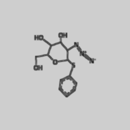 [N-]=[N+]=NC1C(Sc2ccccc2)OC(CO)C(O)C1O